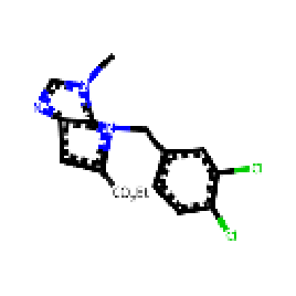 CCOC(=O)c1cc2ncn(C)c2n1Cc1ccc(Cl)c(Cl)c1